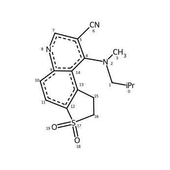 CC(C)CN(C)c1c(C#N)cnc2ccc3c(c12)CCS3(=O)=O